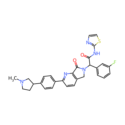 CN1CCC(c2ccc(-c3ccc4c(n3)C(=O)N(C(C(=O)Nc3nccs3)c3cccc(F)c3)C4)cc2)C1